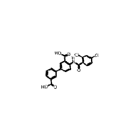 O=C(O)c1cccc(-c2ccc(NC(=O)c3ccc(Cl)cc3Cl)c(C(=O)O)c2)c1